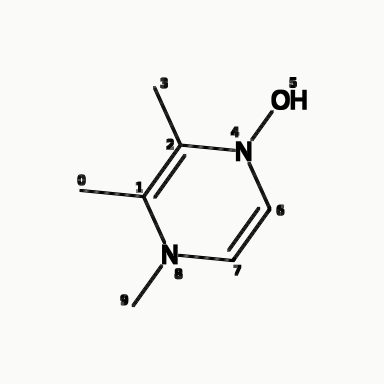 CC1=C(C)N(O)C=CN1C